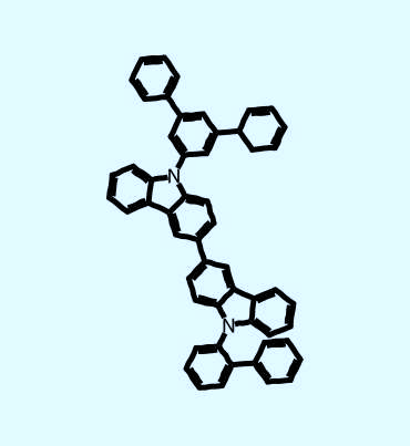 C1=CCC(c2cc(-c3ccccc3)cc(-n3c4ccccc4c4cc(-c5ccc6c(c5)c5ccccc5n6-c5ccccc5-c5ccccc5)ccc43)c2)C=C1